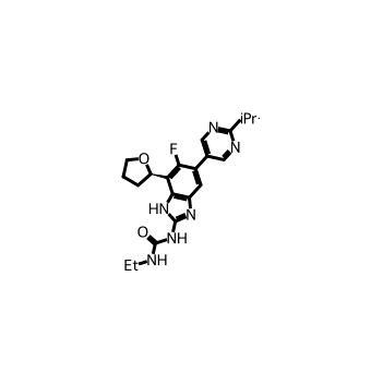 CCNC(=O)Nc1nc2cc(-c3cnc([C](C)C)nc3)c(F)c([C@H]3CCCO3)c2[nH]1